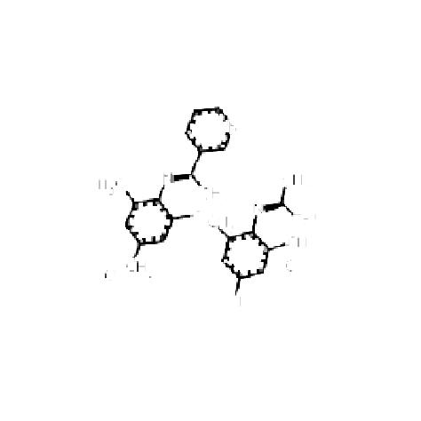 CC(=Nc1c(C)cc(C)cc1Cl)c1cccnc1.C[C]([Fe+2])=Nc1c(C)cc(C)cc1C.[Cl-].[Cl-]